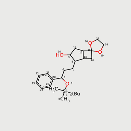 CC(C)(C)[Si](C)(C)OC(CCC1C(O)CC2C1CC21OCCO1)c1ccccc1